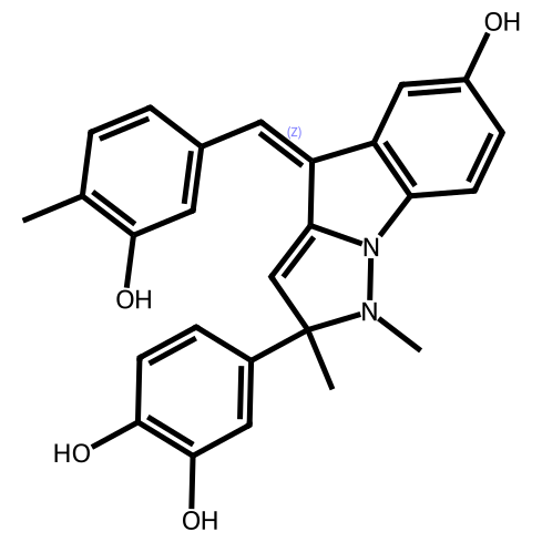 Cc1ccc(/C=c2\c3n(c4ccc(O)cc24)N(C)C(C)(c2ccc(O)c(O)c2)C=3)cc1O